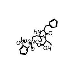 CCC(C(=O)O)N1C(=O)C(Cc2ccccc2)NC12CCN(S(=O)(=O)c1ccccc1S(C)(=O)=O)CC2